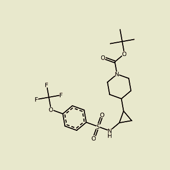 CC(C)(C)OC(=O)N1CCC(C2CC2NS(=O)(=O)c2ccc(OC(F)(F)F)cc2)CC1